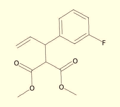 C=CC(c1cccc(F)c1)C(C(=O)OC)C(=O)OC